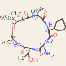 CCCCCC[C@H]1OC[C@@H](C)NC(=O)[C@H](C(C)O)NC(=O)[C@H](CN)NC(=O)[C@H](C2CCCCC2)NC(=O)[C@H](CCC)N(C)C(=O)[C@@H]1C